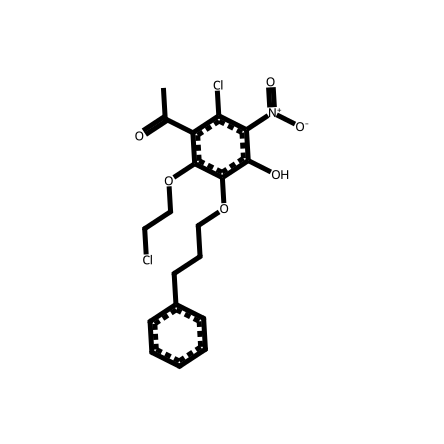 CC(=O)c1c(Cl)c([N+](=O)[O-])c(O)c(OCCCc2ccccc2)c1OCCCl